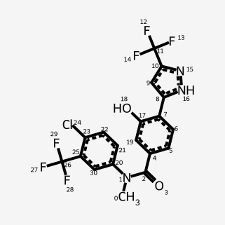 CN(C(=O)c1ccc(-c2cc(C(F)(F)F)n[nH]2)c(O)c1)c1ccc(Cl)c(C(F)(F)F)c1